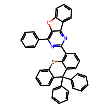 c1ccc(-c2nc(-c3cccc4c3Sc3ccccc3C4(c3ccccc3)c3ccccc3)nc3c2oc2ccccc23)cc1